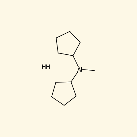 [CH3][Al]([CH]1CCCC1)[CH]1CCCC1.[HH]